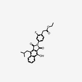 CCOC(=O)Cc1ccc(N2C(=O)c3c(c(CC(C)C)c4ccccc4c3O)C2=O)cc1F